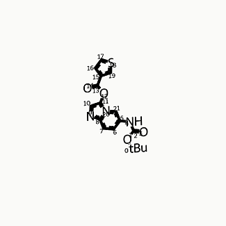 CC(C)(C)OC(=O)Nc1ccc2ncc(OC(=O)c3ccsc3)n2c1